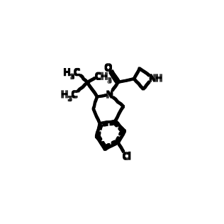 CC(C)(C)C1Cc2ccc(Cl)cc2CN1C(=O)C1CNC1